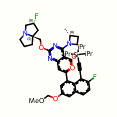 COCOc1cc(-c2cc3nc(OC[C@@]45CCCN4C[C@H](F)C5)nc(N4CC[C@H]4C)c3c(=O)o2)c2c(C#C[Si](C(C)C)(C(C)C)C(C)C)c(F)ccc2c1